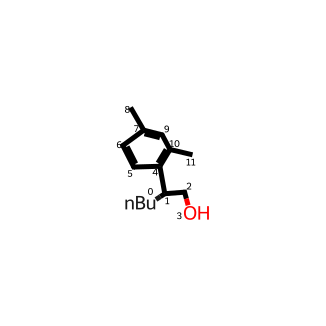 CCCCC(CO)c1ccc(C)cc1C